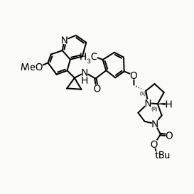 COc1cc(C2(NC(=O)c3cc(OC[C@@H]4CC[C@@H]5CN(C(=O)OC(C)(C)C)CCN54)ccc3C)CC2)c2cccnc2c1